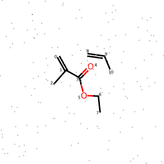 C=C(C)C(=O)OCC.C=CC